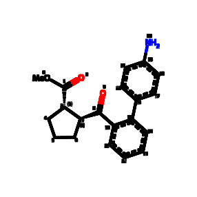 COC(=O)[C@H]1CCC[C@@H]1C(=O)c1ccccc1-c1ccc(N)cc1